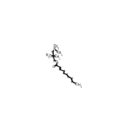 CCCCCCC/C=C/C(=O)OCC(C)(C)CN(C)C